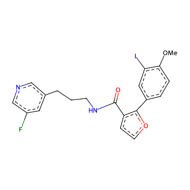 COc1ccc(-c2occc2C(=O)NCCCc2cncc(F)c2)cc1I